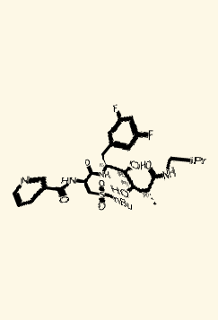 CCCCS(=O)(=O)CC(NC(=O)c1cccnc1)C(=O)N[C@@H](Cc1cc(F)cc(F)c1)[C@@H](O)[C@H](O)[C@@H](C)C(=O)NCC(C)C